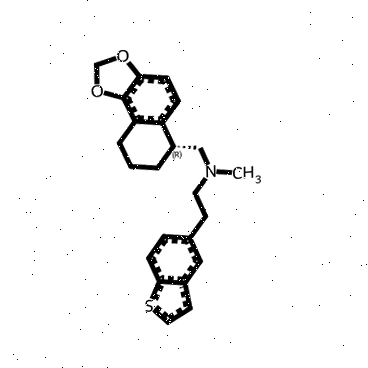 CN(CCc1ccc2sccc2c1)C[C@@H]1CCCc2c1ccc1c2OCO1